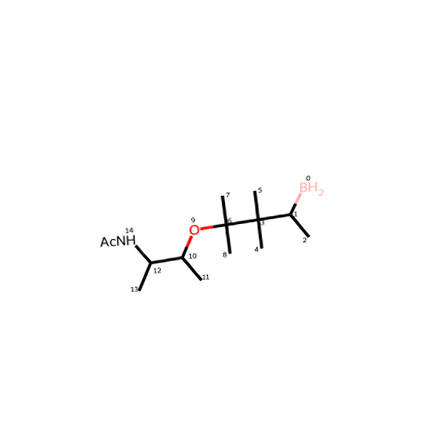 BC(C)C(C)(C)C(C)(C)OC(C)C(C)NC(C)=O